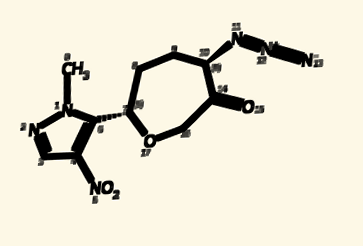 Cn1ncc([N+](=O)[O-])c1[C@@H]1CC[C@@H](N=[N+]=[N-])C(=O)CO1